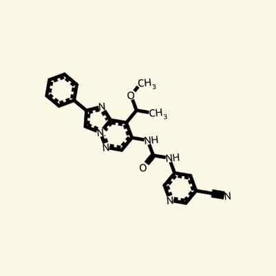 COC(C)c1c(NC(=O)Nc2cncc(C#N)c2)cnn2cc(-c3ccccc3)nc12